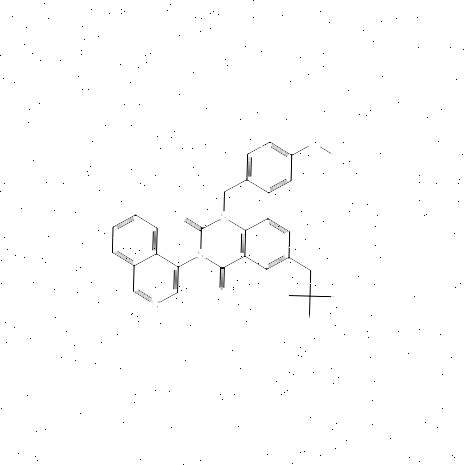 COc1ccc(Cn2c(=O)n(-c3cncc4ccccc34)c(=O)c3cc(CC(F)(F)F)ccc32)cc1